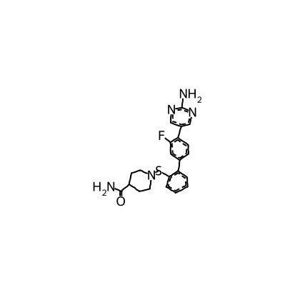 NC(=O)C1CCN(Sc2ccccc2-c2ccc(-c3cnc(N)nc3)c(F)c2)CC1